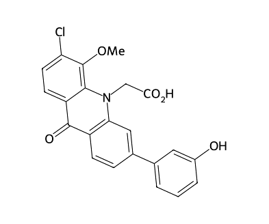 COc1c(Cl)ccc2c(=O)c3ccc(-c4cccc(O)c4)cc3n(CC(=O)O)c12